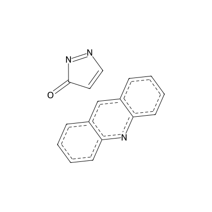 O=C1C=CN=N1.c1ccc2nc3ccccc3cc2c1